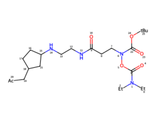 CCN(CC)C(=O)ON(CCC(=O)NCCNC1CCC(CC(C)=O)C1)C(=O)OC(C)(C)C